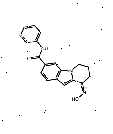 O=C(Nc1cccnc1)c1ccc2cc3n(c2c1)CCC/C3=N/O